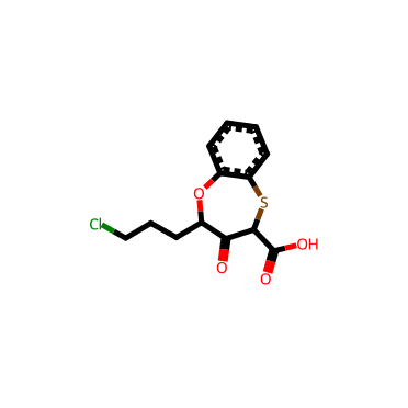 O=C(O)C1Sc2ccccc2OC(CCCCl)C1=O